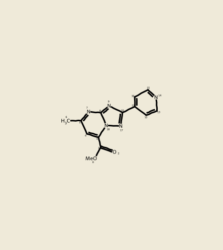 COC(=O)c1cc(C)nc2nc(-c3ccncc3)nn12